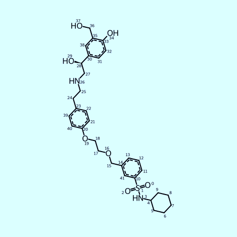 O=S(=O)(NC1CCCCC1)c1cccc(COCCOc2ccc(CCNC[C@@H](O)c3ccc(O)c(CO)c3)cc2)c1